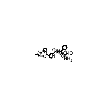 Cc1csc([C@H]2CCCN2C(=O)c2ccnc(C(=O)NNC(c3ccccc3)[C@](C)(C=O)OC(N)=O)c2)n1